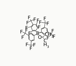 CC(C)O[B-](c1cc(C(F)(F)F)cc(C(F)(F)F)c1)(c1cc(C(F)(F)F)cc(C(F)(F)F)c1)c1c(F)c(F)c(C(F)(F)F)c(F)c1F